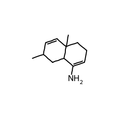 CC1C=CC2(C)CCC=C(N)C2C1